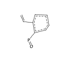 C=Cc1ccccc1P=O